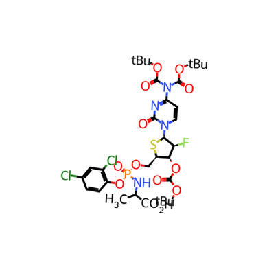 CC(NP(=O)(OC[C@H]1S[C@@H](n2ccc(N(C(=O)OC(C)(C)C)C(=O)OC(C)(C)C)nc2=O)[C@@H](F)[C@@H]1OC(=O)OC(C)(C)C)Oc1ccc(Cl)cc1Cl)C(=O)O